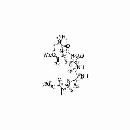 COC(=O)[C@@]1(N2CCN(N)C2=O)CN2C(=O)C(NC(=O)C(=N)c3csc(NC(=O)OC(C)(C)C)n3)[C@H]2S1